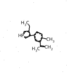 C=C(C)c1cc(-c2c[pH]cc2CC)ccc1C